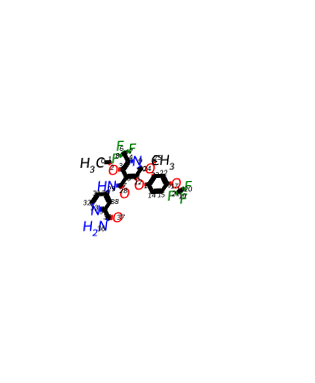 CCOc1c(C(F)(F)F)ncc(Oc2ccc(OC(F)(F)F)cc2OC)c1C(=O)Nc1ccnc(C(N)=O)c1